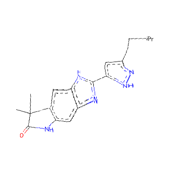 CC(C)Cc1cc(-c2nc3cc4c(cc3[nH]2)C(C)(C)C(=O)N4)[nH]n1